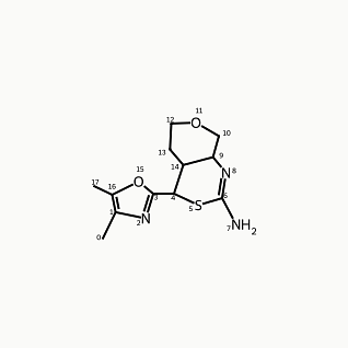 Cc1nc(C2SC(N)=NC3COCCC32)oc1C